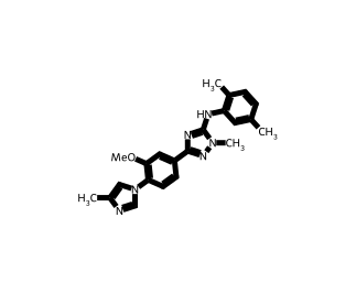 COc1cc(-c2nc(Nc3cc(C)ccc3C)n(C)n2)ccc1-n1cnc(C)c1